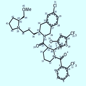 CCC[C@H]1N(C(=O)c2ncccc2C(F)(F)F)CCC[C@@]1(Oc1csc(C(F)(F)F)c1)C(=O)N1Cc2ccc(Cl)cc2C[C@@H]1CCCN1CCC[C@H]1COC